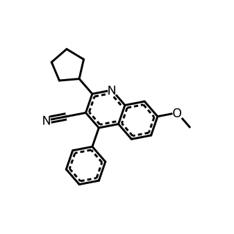 COc1ccc2c(-c3ccccc3)c(C#N)c(C3CCCC3)nc2c1